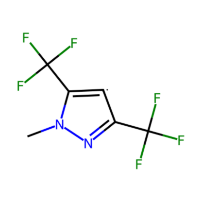 Cn1nc(C(F)(F)F)[c]c1C(F)(F)F